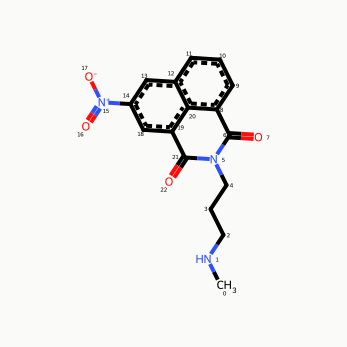 CNCCCN1C(=O)c2cccc3cc([N+](=O)[O-])cc(c23)C1=O